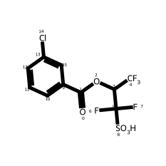 O=C(OC(C(F)(F)F)C(F)(F)S(=O)(=O)O)c1cccc(Cl)c1